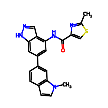 Cc1nc(C(=O)Nc2cc(-c3ccc4ccn(C)c4c3)cc3[nH]ncc23)cs1